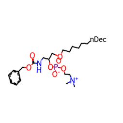 CCCCCCCCCCCCCCCCOCC(CNC(=O)OCc1ccccc1)OP(=O)([O-])OCC[N+](C)(C)C